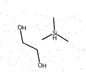 C[SiH](C)C.OCCO